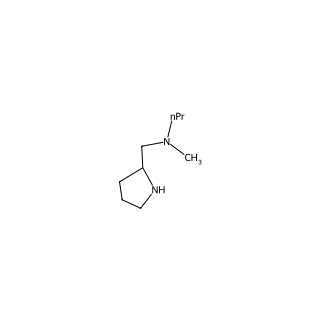 CCCN(C)CC1CCCN1